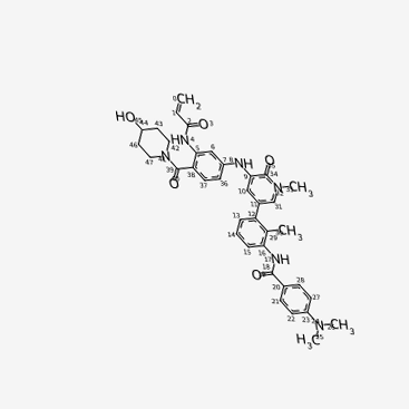 C=CC(=O)Nc1cc(Nc2cc(-c3cccc(NC(=O)c4ccc(N(C)C)cc4)c3C)cn(C)c2=O)ccc1C(=O)N1CCC(O)CC1